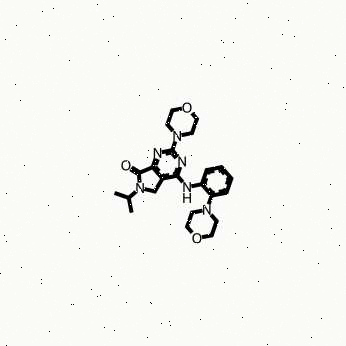 CC(C)N1Cc2c(Nc3ccccc3N3CCOCC3)nc(N3CCOCC3)nc2C1=O